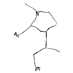 CC(=O)C1C(C(C)CC(C)C)CCN1C